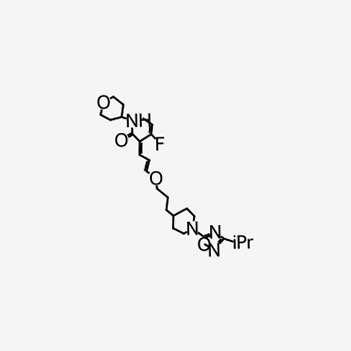 C\C=C(F)/C(=C\C=C\OCCCC1CCN(c2nc(C(C)C)no2)CC1)C(=O)NC1CCOCC1